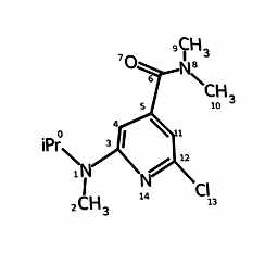 CC(C)N(C)c1cc(C(=O)N(C)C)cc(Cl)n1